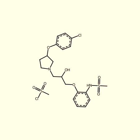 CS(=O)(=O)Cl.CS(=O)(=O)Nc1ccccc1OCC(O)CN1CCC(Oc2ccc(Cl)cc2)C1